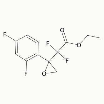 CCOC(=O)C(F)(F)C1(c2ccc(F)cc2F)CO1